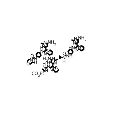 CCOC(=O)c1c[nH]c(Nc2nc3cccnn3c2-c2cc(N)nc(C)n2)n1.Cc1nc(N)cc(-c2c(Nc3ccc(NC(=O)N4CCOCC4C)cc3)nc3ccccn23)n1.Cc1nc(N)cc(-c2c(Nc3ccc(NC(=O)NC4CC4)cc3)nc3ccccn23)n1